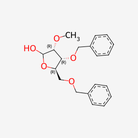 CO[C@H]1C(O)O[C@H](COCc2ccccc2)[C@H]1OCc1ccccc1